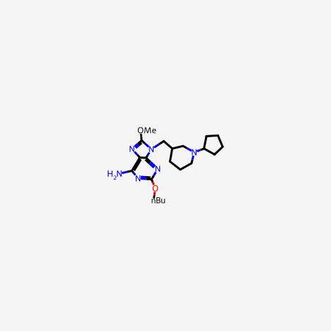 CCCCOc1nc(N)c2nc(OC)n(CC3CCCN(C4CCCC4)C3)c2n1